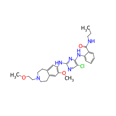 CCCNC(=O)c1ccccc1Nc1nc(Nc2cc3c(cc2OC)CCN(CCOC)CC3)ncc1Cl